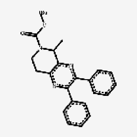 CC1c2nc(-c3ccccc3)c(-c3ccccc3)nc2CCN1C(=O)OC(C)(C)C